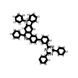 c1ccc(-c2nc(-c3ccccc3)nc(-c3cccc(-c4ccc5nc(-c6ccccc6)c6cc7c(cc6c5c4)c4ccccc4n7-c4ccccc4)c3)n2)cc1